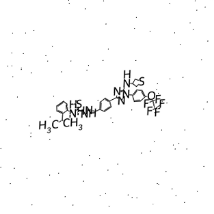 CC(C)c1ccccc1NC(=S)NNCc1ccc(-c2nc(NC3CSC3)n(-c3ccc(OC(F)(F)C(F)(F)F)cc3)n2)cc1